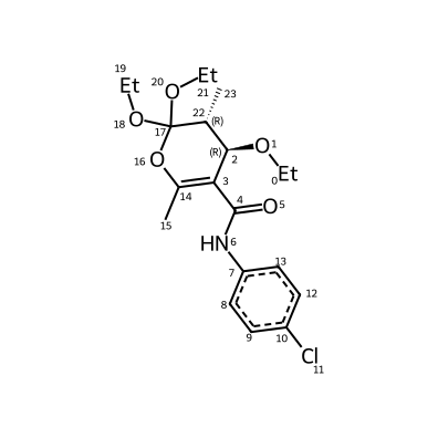 CCO[C@H]1C(C(=O)Nc2ccc(Cl)cc2)=C(C)OC(OCC)(OCC)[C@@H]1C